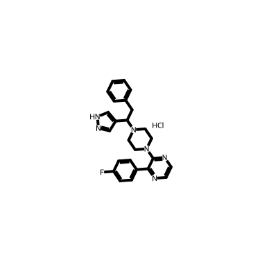 Cl.Fc1ccc(-c2nccnc2N2CCN(C(Cc3ccccc3)c3cn[nH]c3)CC2)cc1